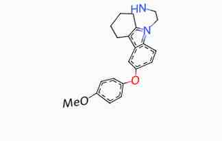 COc1ccc(Oc2ccc3c(c2)c2c4n3CCNC4CCC2)cc1